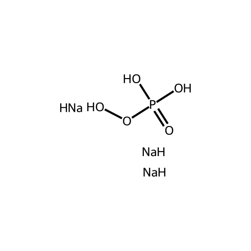 O=P(O)(O)OO.[NaH].[NaH].[NaH]